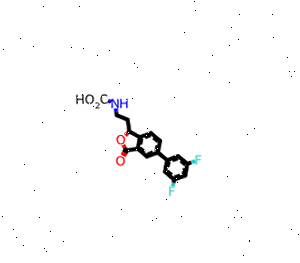 O=C(O)NCCC1OC(=O)c2cc(-c3cc(F)cc(F)c3)ccc21